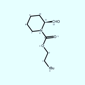 CC(C)(C)CCOC(=O)N1CCCC[C@H]1C=O